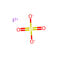 O=S(=O)([O-])[O-].[I+2]